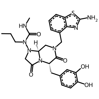 CCCN(C(=O)NC)N1CC(=O)N2[C@@H](Cc3ccc(O)c(O)c3)C(=O)N(Cc3cccc4sc(N)nc34)C[C@@H]21